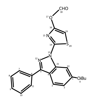 CC(C)COc1ccc2c(-c3ccccc3)nn(-c3nc(OC=O)cs3)c2c1